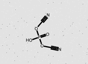 N#COP(=O)(O)OC#N